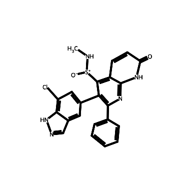 CN[S+]([O-])c1c(-c2cc(Cl)c3[nH]ncc3c2)c(-c2ccccc2)nc2[nH]c(=O)ccc12